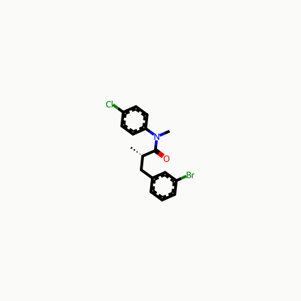 C[C@@H](Cc1cccc(Br)c1)C(=O)N(C)c1ccc(Cl)cc1